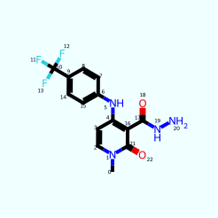 Cn1ccc(Nc2ccc(C(F)(F)F)cc2)c(C(=O)NN)c1=O